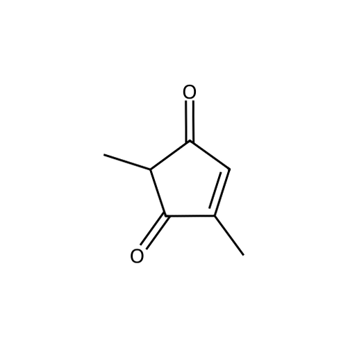 CC1=CC(=O)C(C)C1=O